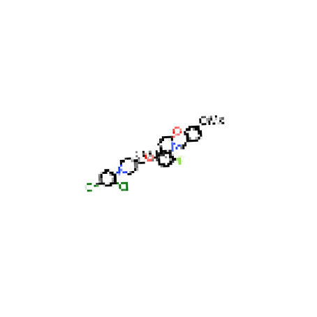 CCOC(=O)C1(COc2ccc(F)c3c2CCC(=O)N3Cc2ccc(OC)cc2)CCN(c2ccc(Cl)cc2Cl)CC1